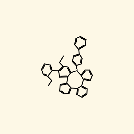 CCc1ccccc1-c1cc2c3ccccc3c3ccccc3c3ccccc3n(-c3ccc(-c4ccccc4)cc3)c2cc1CC